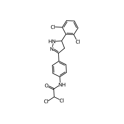 O=C(Nc1ccc(C2=NNC(c3c(Cl)cccc3Cl)C2)cc1)C(Cl)Cl